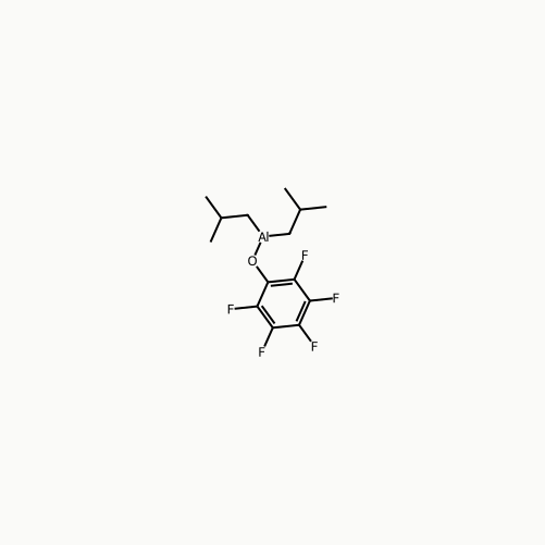 CC(C)[CH2][Al]([CH2]C(C)C)[O]c1c(F)c(F)c(F)c(F)c1F